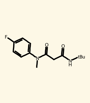 CN(C(=O)CC(=O)NC(C)(C)C)c1ccc(F)cc1